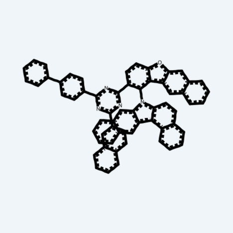 c1ccc(-c2ccc(-c3nc(-c4ccc5ccccc5c4)nc(-c4ccc5oc6cc7ccccc7cc6c5c4-n4c5cc6ccccc6cc5c5c6ccccc6ccc54)n3)cc2)cc1